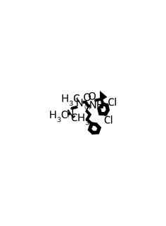 CN(C)CCN(C)C(=O)[C@H](CCCc1ccccc1)NC(=O)C1(c2ccc(Cl)cc2Cl)CC1